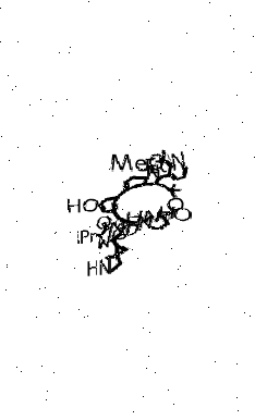 CCn1c(-c2cccnc2[C@H](C)OC)c2c3cc(ccc31)-c1cc(O)cc(c1)C[C@H](NC(=O)C(C(C)C)N(C)C(=O)C1CC13CCNC3)C(=O)N1CCC[C@H](N1)C(=O)OCC(C)(C)C2